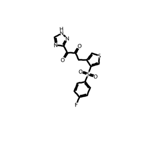 O=C(Cc1cscc1S(=O)(=O)c1ccc(F)cc1)C(=O)c1nc[nH]n1